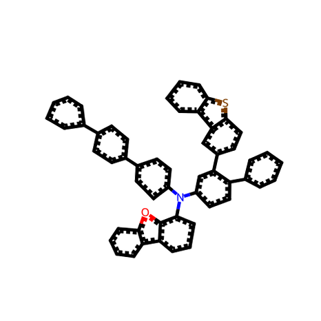 c1ccc(-c2ccc(-c3ccc(N(c4ccc(-c5ccccc5)c(-c5ccc6sc7ccccc7c6c5)c4)c4cccc5c4oc4ccccc45)cc3)cc2)cc1